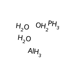 O.O.O.P.[AlH3]